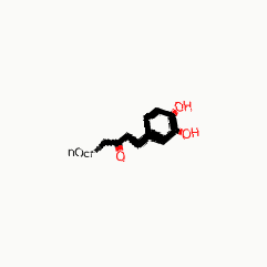 CCCCCCCCCC(=O)/C=C/c1ccc(O)c(O)c1